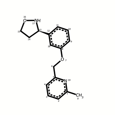 Cc1cccc(COc2cccc([C@H]3CCON3)c2)n1